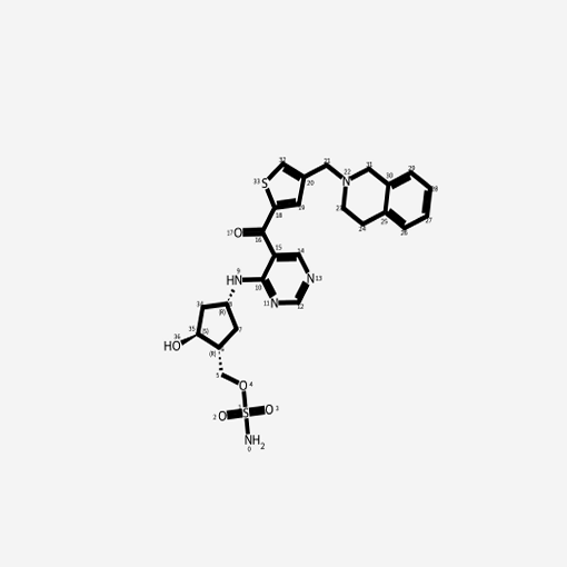 NS(=O)(=O)OC[C@H]1C[C@@H](Nc2ncncc2C(=O)c2cc(CN3CCc4ccccc4C3)cs2)C[C@@H]1O